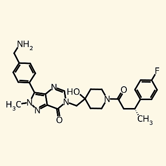 C[C@H](CC(=O)N1CCC(O)(Cn2cnc3c(-c4ccc(CN)cc4)n(C)nc3c2=O)CC1)c1ccc(F)cc1